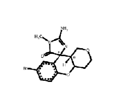 CN1C(=O)[C@@]2(N=C1N)c1cc(Br)ccc1OC1CCOC[C@H]12